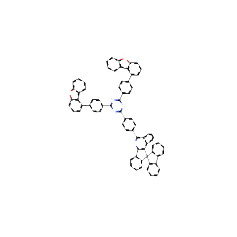 c1ccc2c(c1)-c1ccccc1C21c2ccccc2-c2nc(-c3ccc(-c4nc(-c5ccc(-c6cccc7oc8ccccc8c67)cc5)nc(-c5ccc(-c6cccc7oc8ccccc8c67)cc5)n4)cc3)c3ccccc3c21